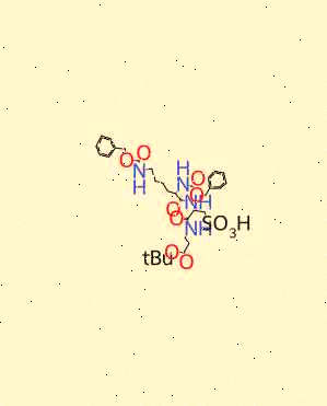 CC(C)(C)OC(=O)CCNC(=O)C(CS(=O)(=O)O)NC(=O)C(CCCCNC(=O)OCc1ccccc1)NC(=O)OCc1ccccc1